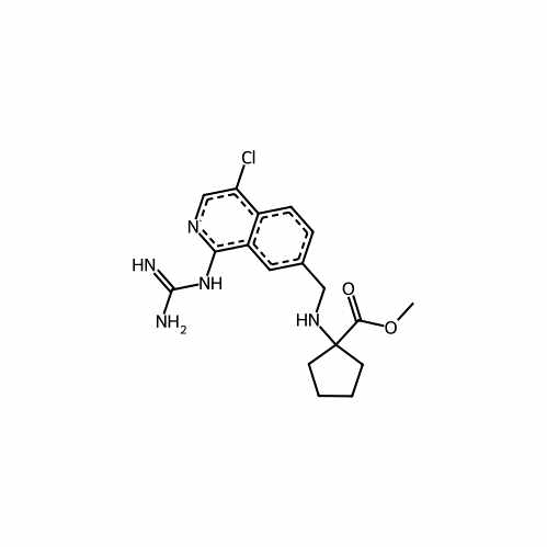 COC(=O)C1(NCc2ccc3c(Cl)cnc(NC(=N)N)c3c2)CCCC1